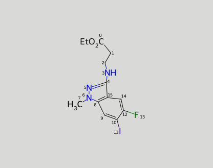 CCOC(=O)CCNc1nn(C)c2cc(I)c(F)cc12